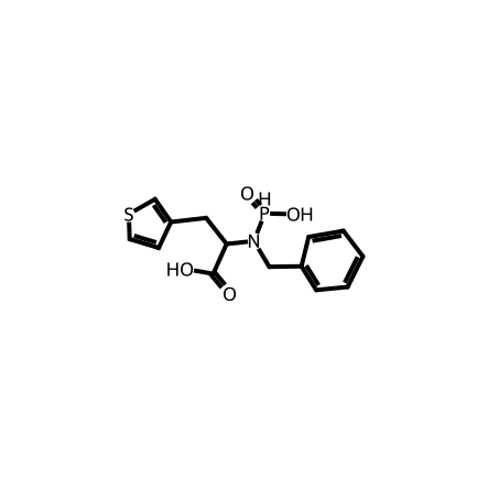 O=C(O)C(Cc1ccsc1)N(Cc1ccccc1)[PH](=O)O